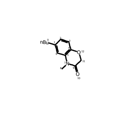 CCCCc1ccc2c(c1)N(C)C(=O)CO2